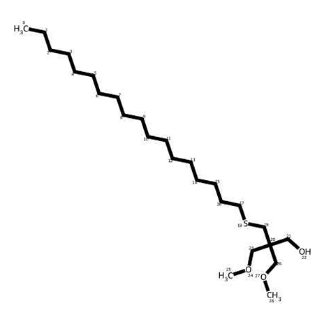 CCCCCCCCCCCCCCCCCCSCC(CO)(COC)COC